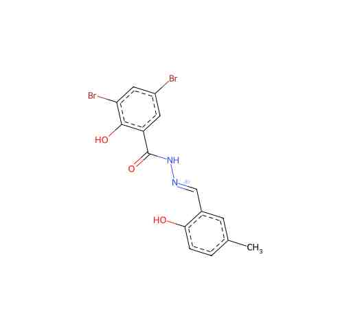 Cc1ccc(O)c(/C=N/NC(=O)c2cc(Br)cc(Br)c2O)c1